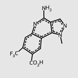 Cn1ncc2c(N)nc3cc(C(F)(F)F)c(C(=O)O)cc3c21